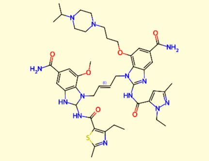 CCc1nc(C)sc1C(=O)NC1Nc2cc(C(N)=O)cc(OC)c2N1C/C=C/Cn1c(NC(=O)c2cc(C)nn2CC)nc2cc(C(N)=O)cc(OCCCN3CCN(C(C)C)CC3)c21